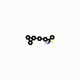 c1ccc2c(c1)sc1cnc3cc(-c4ccc(-c5ccc6c7ccccc7c7ccccc7c6c5)cc4)ccc3c12